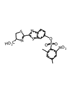 Cc1cc(C)c(S(=O)(=O)Oc2ccc3nc(C4=N[C@@H](C(=O)O)CS4)sc3c2)c([N+](=O)[O-])c1